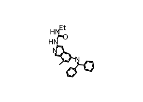 CCNC(=O)Nc1cc2cc(N=C(c3ccccc3)c3ccccc3)cc(C)c2cn1